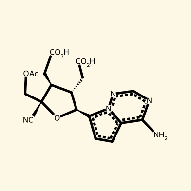 CC(=O)OC[C@@]1(C#N)O[C@H](c2ccc3c(N)ncnn23)[C@@H](CC(=O)O)[C@@H]1CC(=O)O